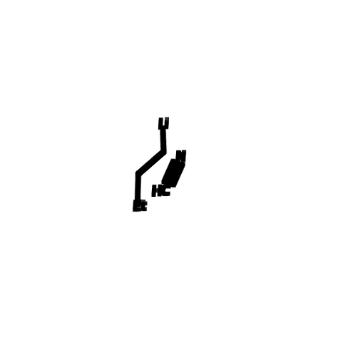 C#N.[Li][CH2]CCC